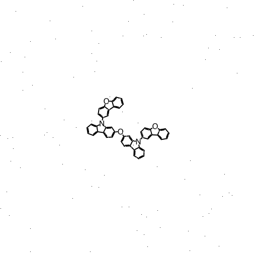 c1ccc2c(c1)oc1ccc(-n3c4ccccc4c4ccc(Oc5ccc6c7ccccc7n(-c7ccc8oc9ccccc9c8c7)c6c5)cc43)cc12